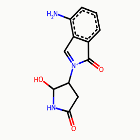 Nc1cccc2c1C=[N+](C1CC(=O)NC1O)C2=O